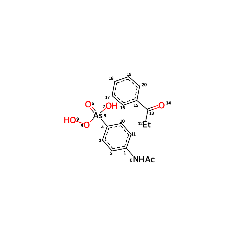 CC(=O)Nc1ccc([As](=O)(O)OO)cc1.CCC(=O)c1ccccc1